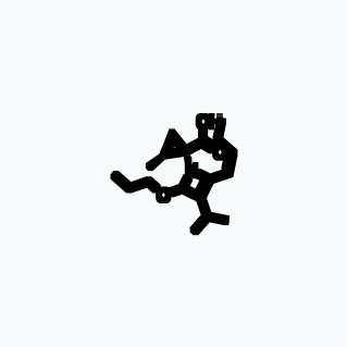 CC/C=C\C1=C(C(C)C)C(OCCC)N1[C@@]1(C(=O)O)C[C@@H]1C